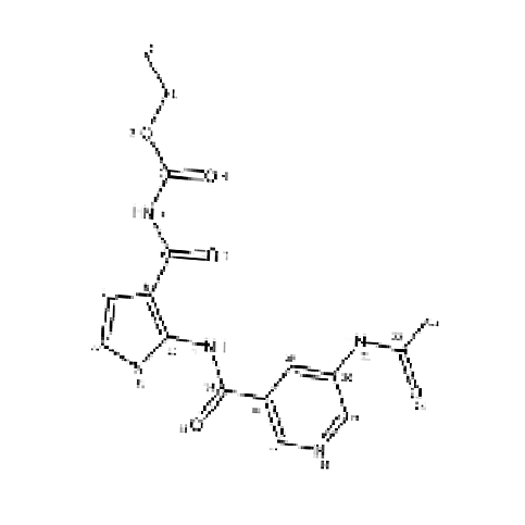 CCOC(=O)NC(=O)c1ccsc1NC(=O)c1cncc(NC(C)=O)c1